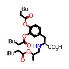 CCC(C)CC(=O)Oc1ccc(C[C@H](NCC(C)OC(=O)CC(C)CC)C(=O)O)cc1OC(=O)CC(C)CC